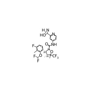 Cc1c(F)ccc([C@@H]2[C@@H](C(=O)Nc3ccnc(C(N)O)c3)O[C@](C)(C(F)(F)F)[C@@H]2C)c1OC(F)F